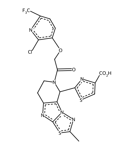 Cc1nn2c3c(nc2s1)CCN(C(=O)COc1ccc(C(F)(F)F)nc1Cl)C3c1nc(C(=O)O)cs1